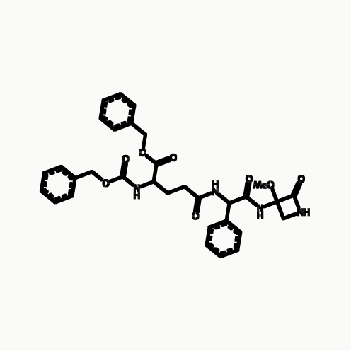 COC1(NC(=O)C(NC(=O)CCC(NC(=O)OCc2ccccc2)C(=O)OCc2ccccc2)c2ccccc2)CNC1=O